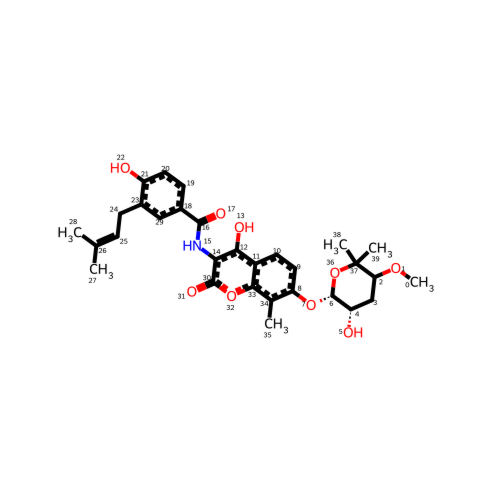 COC1C[C@H](O)[C@H](Oc2ccc3c(O)c(NC(=O)c4ccc(O)c(CC=C(C)C)c4)c(=O)oc3c2C)OC1(C)C